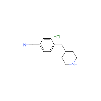 Cl.N#Cc1ccc(CC2CCNCC2)cc1